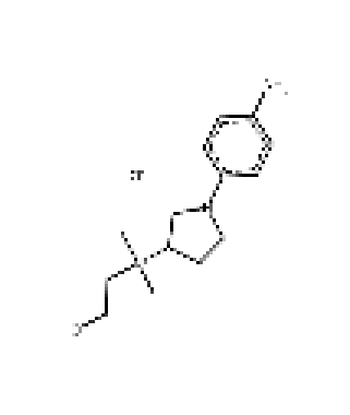 C[N+](C)(CCO)C1CCN(c2ccc(N)cc2)C1.[Cl-]